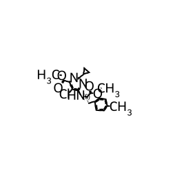 COC(=O)c1nc(C2CC2)nc(N[C@@H](Cc2ccc(C)cc2)C(=O)OC)c1Cl